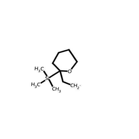 [CH2]CC1([Si](C)(C)C)CCCCO1